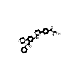 N#CCNC(=O)c1ccc(-c2ccnc(Nc3ccc(N4CCOCC4)c(C(=O)OC4CCCCC4)c3)n2)cc1